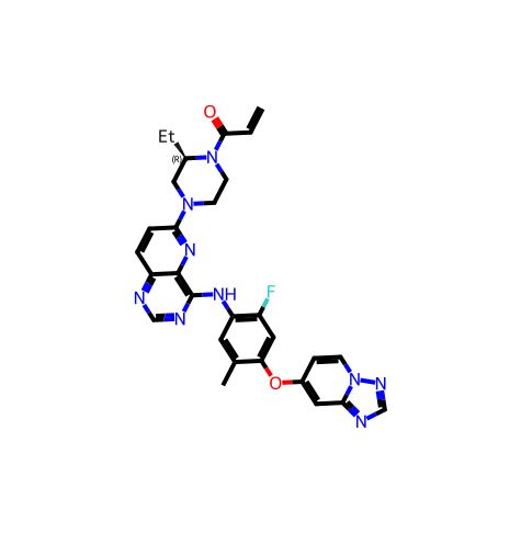 C=CC(=O)N1CCN(c2ccc3ncnc(Nc4cc(C)c(Oc5ccn6ncnc6c5)cc4F)c3n2)C[C@H]1CC